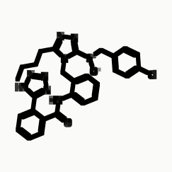 CCCCc1nnc([S+]([O-])Cc2ccc(Cl)cc2)n1Cc1ccccc1NC(=O)c1ccccc1-c1nnn[nH]1